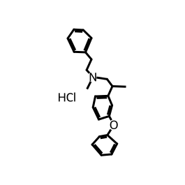 CC(CN(C)CCc1ccccc1)c1cccc(Oc2ccccc2)c1.Cl